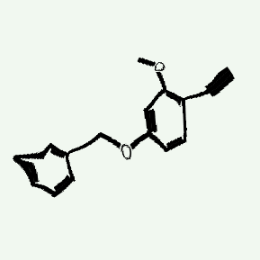 C#Cc1ccc(OCc2ccccc2)cc1OC